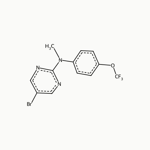 CN(c1ccc(OC(F)(F)F)cc1)c1ncc(Br)cn1